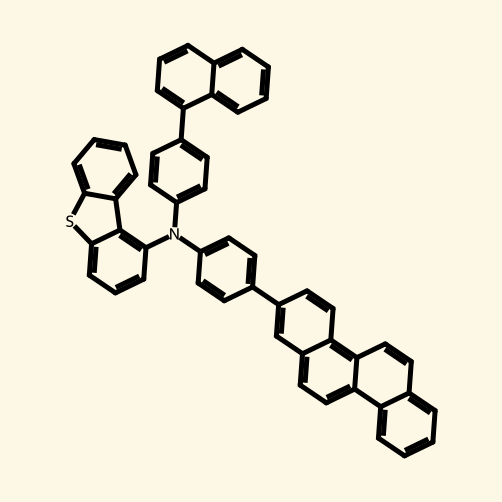 c1ccc2c(-c3ccc(N(c4ccc(-c5ccc6c(ccc7c8ccccc8ccc67)c5)cc4)c4cccc5sc6ccccc6c45)cc3)cccc2c1